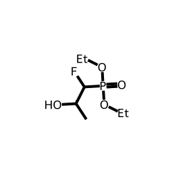 CCOP(=O)(OCC)C(F)[C](C)O